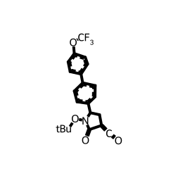 CC(C)(C)ON1C(=O)C(=C=O)CC1c1ccc(-c2ccc(OC(F)(F)F)cc2)cc1